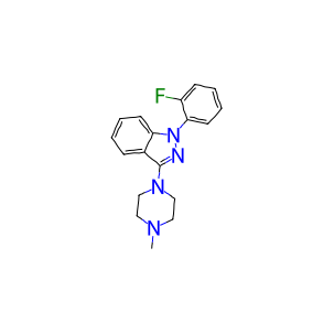 CN1CCN(c2nn(-c3ccccc3F)c3ccccc23)CC1